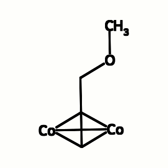 COC[C]12[CH]3[Co]1[Co]32